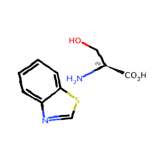 N[C@@H](CO)C(=O)O.c1ccc2scnc2c1